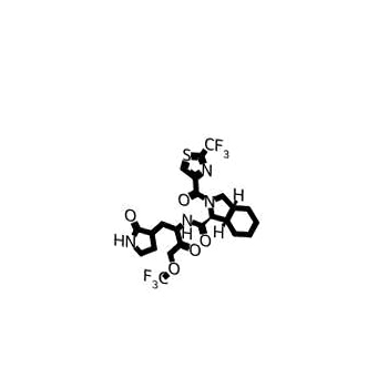 O=C1NCCC1CC(NC(=O)[C@@H]1[C@H]2CCCC[C@H]2CN1C(=O)c1csc(C(F)(F)F)n1)C(=O)COC(F)(F)F